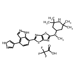 CN(c1nc2sc(-c3ccc(-c4cn[nH]c4)c4cn[nH]c34)nc2s1)C1CC(C)(C)NC(C)(C)C1.O=C(O)C(F)(F)F